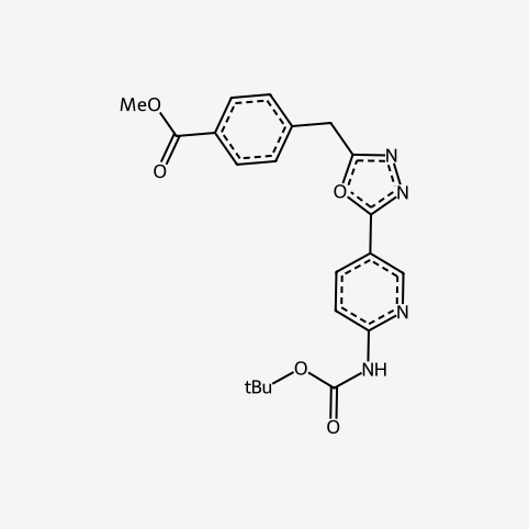 COC(=O)c1ccc(Cc2nnc(-c3ccc(NC(=O)OC(C)(C)C)nc3)o2)cc1